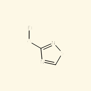 CCOc1n[c]sn1